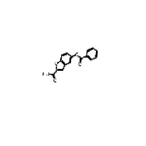 O=C(Oc1ccc2sc(C(=O)O)cc2c1)c1ccccc1